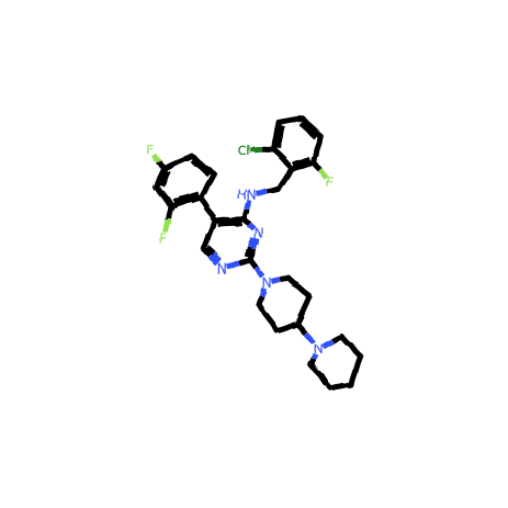 Fc1ccc(-c2cnc(N3CCC(N4CCCCC4)CC3)nc2NCc2c(F)cccc2Cl)c(F)c1